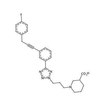 O=C(O)C1CCCN(CCCn2nnc(-c3cccc(C#CCc4ccc(F)cc4)c3)n2)C1